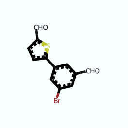 O=Cc1cc(Br)cc(-c2ccc(C=O)s2)c1